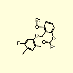 CCOc1cccc(OC(=O)CC)c1COc1cc(F)c(C)cc1C